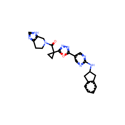 O=C(N1CCc2nc[nH]c2C1)C1(c2nnc(-c3cnc(NC4Cc5ccccc5C4)nc3)o2)CC1